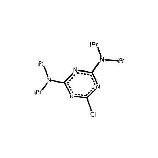 CC(C)N(c1nc(Cl)nc(N(C(C)C)C(C)C)n1)C(C)C